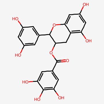 O=C(OC1Cc2c(O)cc(O)cc2OC1c1cc(O)cc(O)c1)c1cc(O)c(O)c(O)c1